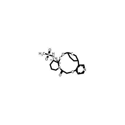 CS(=O)(=O)N[C@H]1CCCN2C(=O)COc3ccncc3C3CCC(CC3)OC[C@@H]12